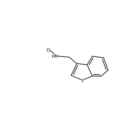 ClNCc1csc2ccccc12